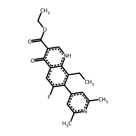 CCOC(=O)c1c[nH]c2c(CC)c(-c3cc(C)nc(C)c3)c(F)cc2c1=O